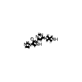 O=c1c(-n2ccnn2)c[nH]n1-c1cc(N2CC3(CNC3)C2)ncn1